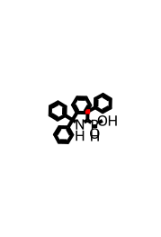 O=[PH](O)C(Cc1ccccc1)NC(c1ccccc1)(c1ccccc1)c1ccccc1